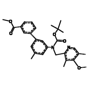 COC(=O)c1cccc(-c2cc(C)cc(N(Cc3ncc(C)c(OC)c3C)C(=O)OC(C)(C)C)c2)c1